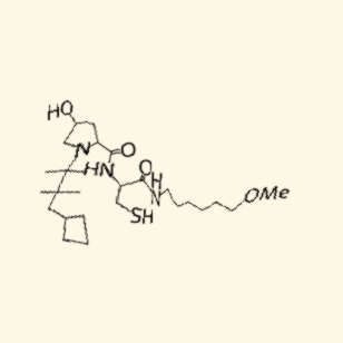 COCCCCCCNC(=O)C(CS)NC(=O)C1CC(O)CN1C(C)(C)C(C)(C)CC1CCC1